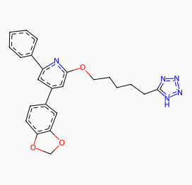 c1ccc(-c2cc(-c3ccc4c(c3)OCO4)cc(OCCCCCc3nnn[nH]3)n2)cc1